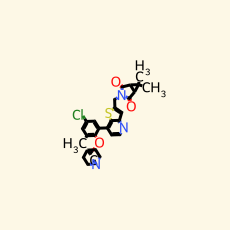 Cc1cc(Cl)cc(-c2ccnc3cc(CN4C(=O)C5C(C4=O)C5(C)C)sc23)c1OC1CN2CCC1CC2